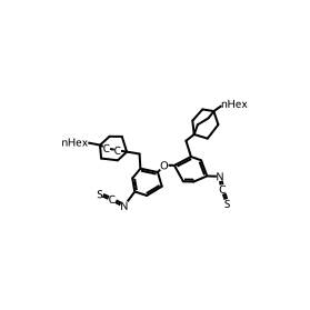 CCCCCCC12CCC(Cc3cc(N=C=S)ccc3Oc3ccc(N=C=S)cc3CC34CCC(CCCCCC)(CC3)CC4)(CC1)CC2